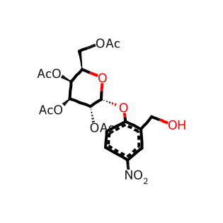 CC(=O)OC[C@H]1O[C@H](Oc2ccc([N+](=O)[O-])cc2CO)[C@H](OC(C)=O)[C@@H](OC(C)=O)[C@H]1OC(C)=O